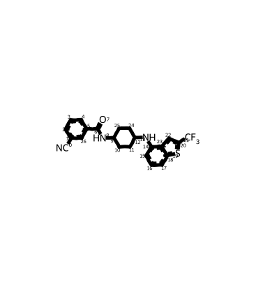 N#Cc1cccc(C(=O)NC2CCC(Nc3cccc4sc(C(F)(F)F)cc34)CC2)c1